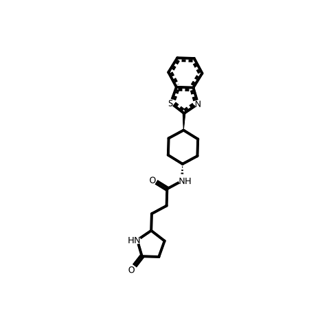 O=C1CCC(CCC(=O)N[C@H]2CC[C@H](c3nc4ccccc4s3)CC2)N1